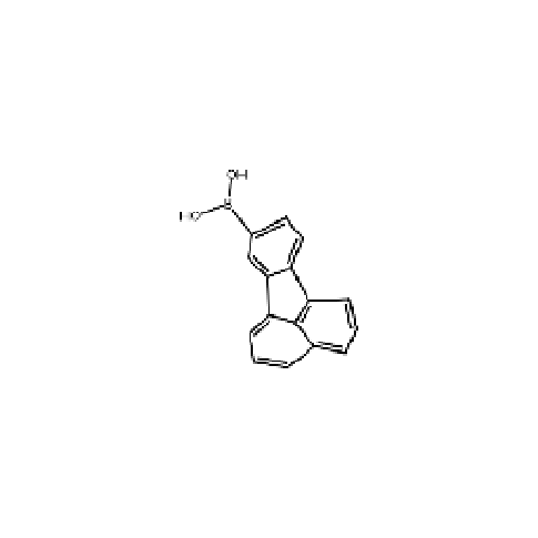 OB(O)c1ccc2c(c1)-c1cccc3cccc-2c13